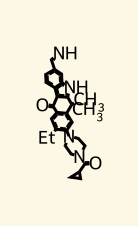 CCc1cc2c(cc1N1CCN(C(=O)C3CC3)CC1)C(C)(C)c1[nH]c3cc(C=N)ccc3c1C2=O